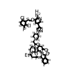 CC[C@H](CC#C[C@@H]1c2ccccc2C(=O)N1N1C(=O)CCCC1=O)N1CCN(C(=O)CN2CCC(n3cc(-c4cnc(N)c(OCCc5c(Cl)ccc(F)c5Cl)c4)cn3)CC2)CC1